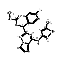 COC(=O)NC(c1ccc(F)cc1)c1nc(Nc2cc(C)[nH]n2)c2cccn2n1